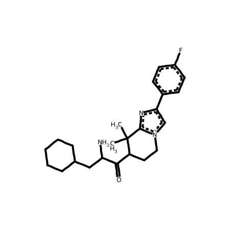 CC1(C)c2nc(-c3ccc(F)cc3)cn2CCC1C(=O)C(N)CC1CCCCC1